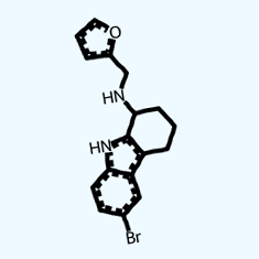 Brc1ccc2[nH]c3c(c2c1)CCCC3NCc1ccco1